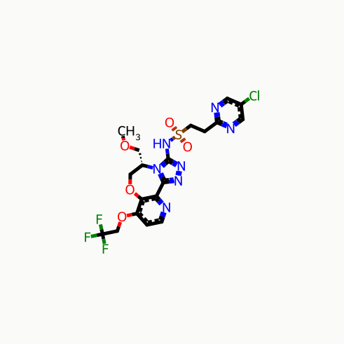 COC[C@H]1COc2c(OCC(F)(F)F)ccnc2-c2nnc(NS(=O)(=O)CCc3ncc(Cl)cn3)n21